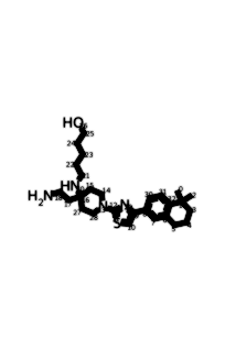 CC1(C)CCCc2cc(-c3csc(N4CCC(CCN)(NCCCCCO)CC4)n3)ccc21